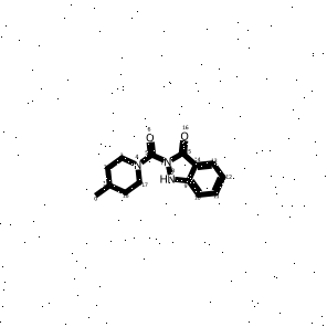 CC1CCN(C(=O)n2[nH]c3ccccc3c2=O)CC1